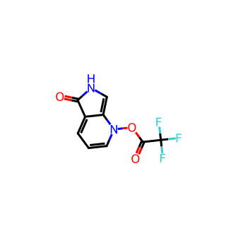 O=C(On1cccc2c(=O)[nH]cc1-2)C(F)(F)F